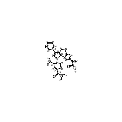 COC(=O)Nc1nc2c(s1)-c1c(c(-c3cccnc3)nn1-c1ccc(C(=O)N(C)C)cc1C(C)C)CC2